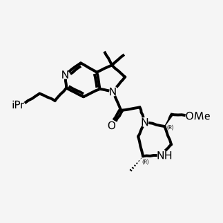 COC[C@H]1CN[C@H](C)CN1CC(=O)N1CC(C)(C)c2cnc(CCC(C)C)cc21